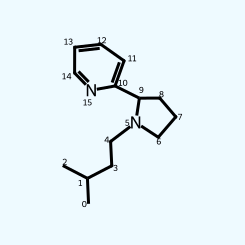 CC(C)CCN1CCCC1c1ccccn1